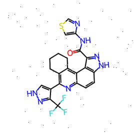 O=C(Nc1cscn1)c1n[nH]c2ccc3nc(-c4c[nH]nc4C(F)(F)F)c4c(c3c12)CCCC4